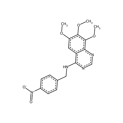 COc1cc2c(NCc3ccc([N+](=O)[O-])cc3)ncnc2c(OC)c1OC